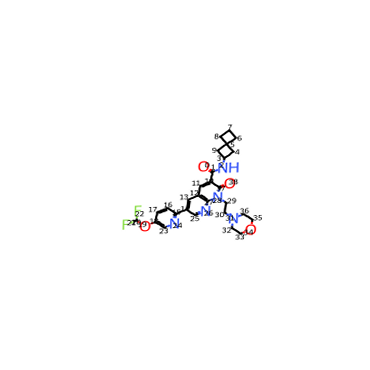 O=C(NC1CC2(CCC2)C1)c1cc2cc(-c3ccc(OC(F)F)cn3)cnc2n(CCN2CCOCC2)c1=O